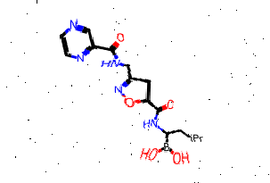 CC(C)CC(NC(=O)C1CC(CNC(=O)c2cnccn2)=NO1)B(O)O